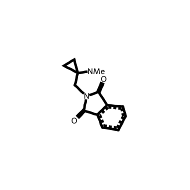 CNC1(CN2C(=O)c3ccccc3C2=O)CC1